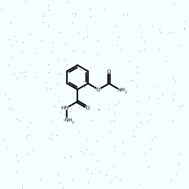 NNC(=O)c1ccccc1OC(N)=O